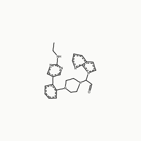 CCNc1ncc(-c2ccccc2N2CCN(C(C=O)n3ccc4cccnc43)CC2)cn1